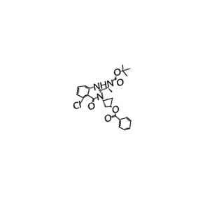 C[C@H](NC(=O)OC(C)(C)C)c1nc2cccc(Cl)c2c(=O)n1[C@H]1C[C@H](OC(=O)c2ccccc2)C1